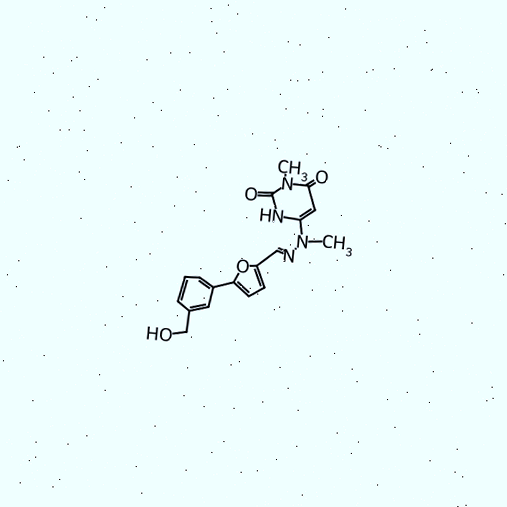 CN(N=Cc1ccc(-c2cccc(CO)c2)o1)c1cc(=O)n(C)c(=O)[nH]1